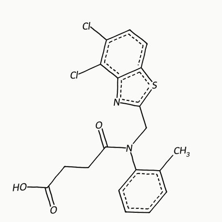 Cc1ccccc1N(Cc1nc2c(Cl)c(Cl)ccc2s1)C(=O)CCC(=O)O